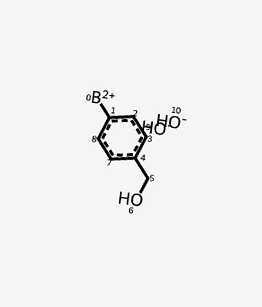 [B+2]c1ccc(CO)cc1.[OH-].[OH-]